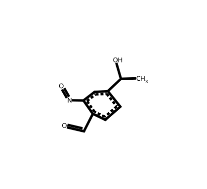 CC(O)c1ccc(C=O)c(N=O)c1